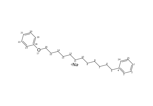 [Na].c1ccc(CCCCCCCCCCCCOc2ccccc2)cc1